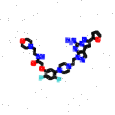 Nc1nc2c(cnn2CCN2CCN(c3cc(OCC(=O)NCCN4CCOCC4)c(F)cc3F)CC2)c2cc(-c3ccco3)nn12